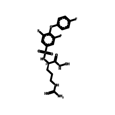 N=C(N)NCCC[C@@H](NS(=O)(=O)c1cc(F)c(Oc2ccc(F)cc2)c(F)c1)C(=O)NO